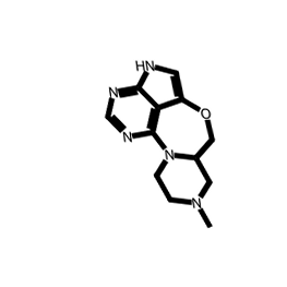 CN1CCN2c3ncnc4[nH]cc(c34)OCC2C1